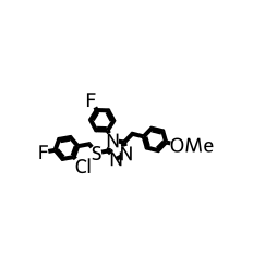 COc1ccc(Cc2nnc(SCc3ccc(F)cc3Cl)n2-c2ccc(F)cc2)cc1